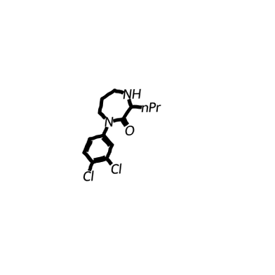 CCCC1NCCCN(c2ccc(Cl)c(Cl)c2)C1=O